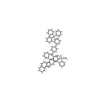 CC1(C)c2ccccc2-c2ccc(N(c3ccc(-c4ccc5c(c4)C(c4ccccc4)(c4ccccc4)c4ccccc4-5)cc3)c3ccccc3-c3cccc4oc5c6ccccc6ccc5c34)cc21